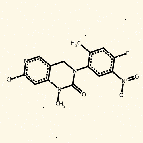 Cc1cc(F)c([N+](=O)[O-])cc1N1Cc2cnc(Cl)cc2N(C)C1=O